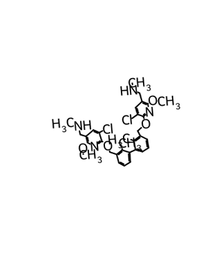 CNCc1cc(Cl)c(OCc2cccc(-c3cccc(COc4nc(OC)c(CNC)cc4Cl)c3C)c2C)nc1OC